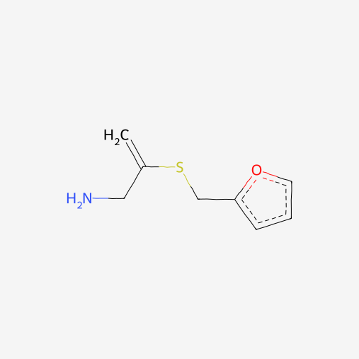 C=C(CN)SCc1ccco1